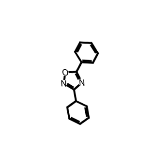 C1=CCC(c2noc(-c3ccccc3)n2)C=C1